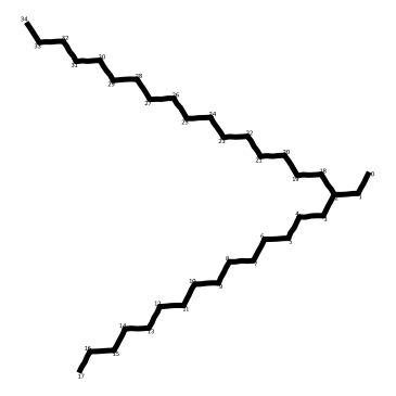 [CH2]CC(CCCCCCCCCCCCCCC)CCCCCCCCCCCCCCCCC